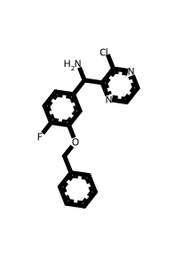 NC(c1ccc(F)c(OCc2ccccc2)c1)c1nccnc1Cl